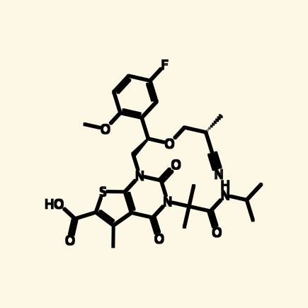 COc1ccc(F)cc1[C@H](Cn1c(=O)n(C(C)(C)C(=O)NC(C)C)c(=O)c2c(C)c(C(=O)O)sc21)OC[C@H](C)C#N